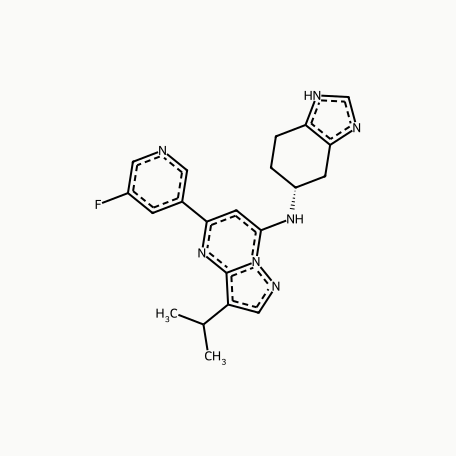 CC(C)c1cnn2c(N[C@@H]3CCc4[nH]cnc4C3)cc(-c3cncc(F)c3)nc12